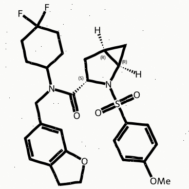 COc1ccc(S(=O)(=O)N2[C@@H]3C[C@@H]3C[C@H]2C(=O)N(Cc2ccc3c(c2)OCC3)C2CCC(F)(F)CC2)cc1